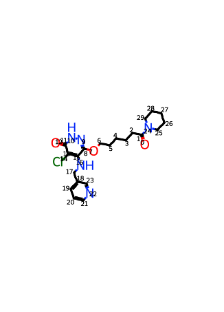 O=C(CCCCCOc1n[nH]c(=O)c(Cl)c1NCc1cccnc1)N1CCCCC1